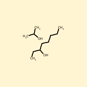 CC(C)O.CCCCCC(O)CC